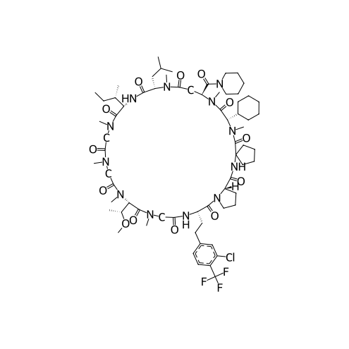 CC[C@H](C)[C@@H]1NC(=O)[C@H](CC(C)C)N(C)C(=O)C[C@@H](C(=O)N2CCCCC2)N(C)C(=O)[C@H](C2CCCCC2)N(C)C(=O)C2(CCCC2)NC(=O)[C@@H]2CCCN2C(=O)[C@H](CCc2ccc(C(F)(F)F)c(Cl)c2)NC(=O)CN(C)C(=O)[C@H]([C@@H](C)OC)N(C)C(=O)CN(C)C(=O)CN(C)C1=O